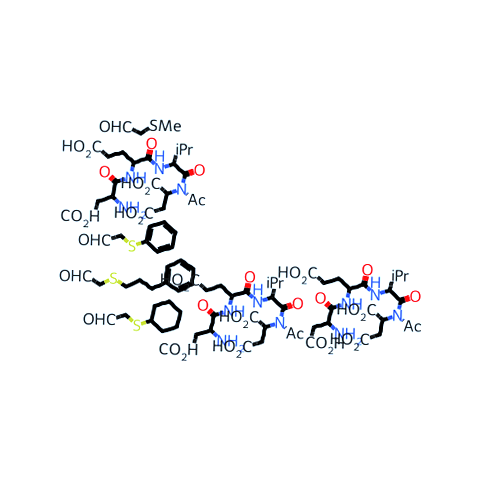 CC(=O)N(C(=O)C(NC(=O)C(CCC(=O)O)NC(=O)C(N)CC(=O)O)C(C)C)C(CC(=O)O)C(=O)O.CC(=O)N(C(=O)C(NC(=O)C(CCC(=O)O)NC(=O)C(N)CC(=O)O)C(C)C)C(CC(=O)O)C(=O)O.CC(=O)N(C(=O)C(NC(=O)C(CCC(=O)O)NC(=O)C(N)CC(=O)O)C(C)C)C(CC(=O)O)C(=O)O.CSCC=O.O=CCSC1CCCCC1.O=CCSCCCc1ccccc1.O=CCSc1ccccc1